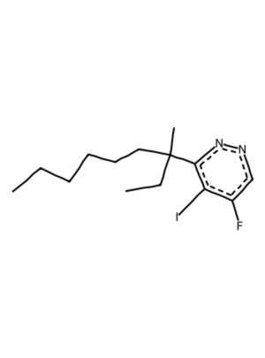 CCCCCCC(C)(CC)c1nncc(F)c1I